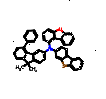 CC1(C)c2ccc(N(c3ccc4c(c3)sc3ccccc34)c3cccc4oc5ccccc5c34)cc2-c2c(-c3ccccc3)cccc21